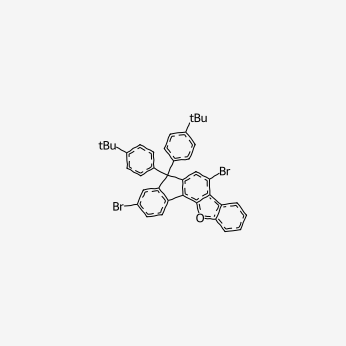 CC(C)(C)c1ccc(C2(c3ccc(C(C)(C)C)cc3)c3cc(Br)ccc3-c3c2cc(Br)c2c3oc3ccccc32)cc1